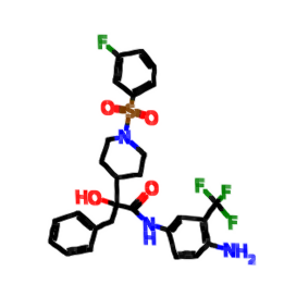 Nc1ccc(NC(=O)C(O)(Cc2ccccc2)C2CCN(S(=O)(=O)c3cccc(F)c3)CC2)cc1C(F)(F)F